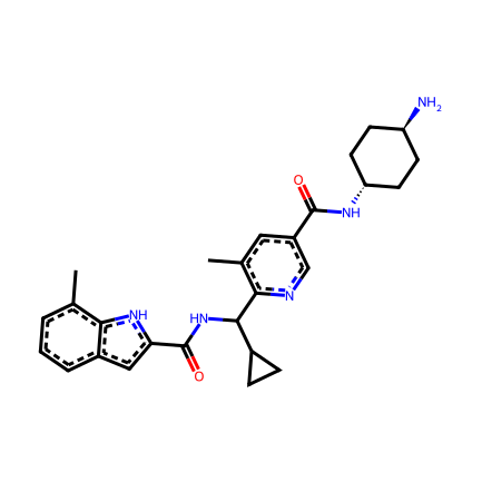 Cc1cc(C(=O)N[C@H]2CC[C@H](N)CC2)cnc1C(NC(=O)c1cc2cccc(C)c2[nH]1)C1CC1